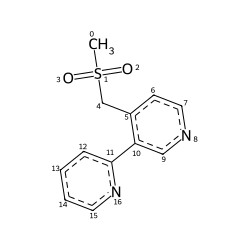 CS(=O)(=O)Cc1ccncc1-c1ccccn1